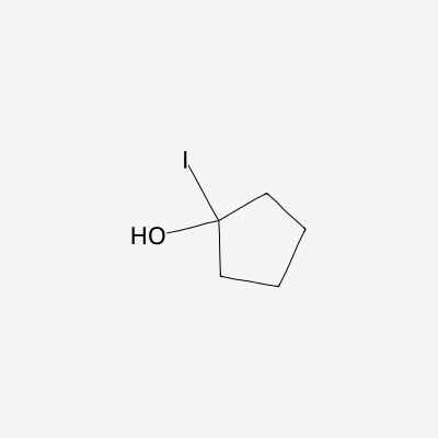 OC1(I)CCCC1